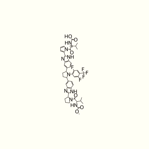 COC(=O)NC(C(=O)N1CCCC1c1nc2cc(C3CCC(c4ccc5[nH]c(-c6cccn6C(=O)[C@@H](NC(=O)O)C(C)C)nc5c4)N3c3cc(F)c(C(F)(F)F)cc3F)ccc2[nH]1)C(C)C